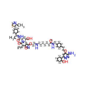 Cc1ncsc1-c1ccc([C@H](C)NC(=O)[C@@H]2C[C@@H](O)CN2C(=O)[C@@H](c2cc(OCCNCCCCCCC(=O)NCc3ccc(CCOc4cc(-c5ccccc5O)nnc4N)cc3)no2)C(C)C)cc1